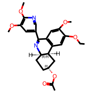 CCOc1cc2c(cc1OC)C(c1cnc(OC)c(OC)c1)=N[C@@H]1CC[C@@H](OC(C)=O)C[C@H]21